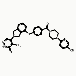 N#Cc1ccc(N2CCN(C(=O)c3ccc(Oc4cccc5c4CN(c4cn[nH]c(=O)c4C(F)(F)F)C5)cc3)CC2)nc1